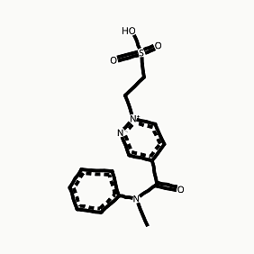 CN(C(=O)c1cc[n+](CCS(=O)(=O)O)nc1)c1ccccc1